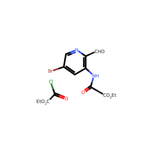 CCOC(=O)C(=O)Cl.CCOC(=O)C(=O)Nc1cc(Br)cnc1C=O